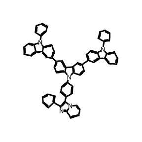 c1ccc(-c2nc3ccccn3c2-c2ccc(-n3c4ccc(-c5ccc6c(c5)c5ccccc5n6-c5ccccc5)cc4c4cc(-c5ccc6c(c5)c5ccccc5n6-c5ccccc5)ccc43)cc2)cc1